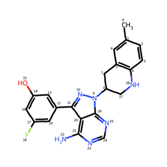 Cc1ccc2c(c1)CC(n1nc(-c3cc(O)cc(F)c3)c3c(N)ncnc31)CN2